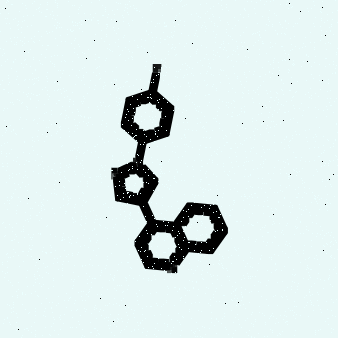 Fc1ccc(-n2cc(-c3ccnc4ccccc34)cn2)cc1